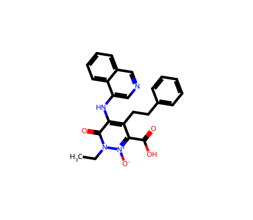 CCn1c(=O)c(Nc2cncc3ccccc23)c(CCc2ccccc2)c(C(=O)O)[n+]1[O-]